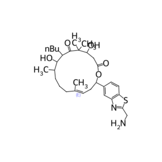 CCCCC1C(=O)C(C)(C)C(O)CC(=O)OC(c2ccc3sc(CN)nc3c2)C/C=C(\C)CCCC(C)C1O